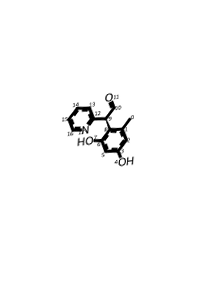 Cc1cc(O)cc(O)c1[C@H](C=O)c1ccccn1